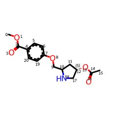 COC(=O)c1ccc(OCC2C[C@H](OC(C)=O)CN2)cc1